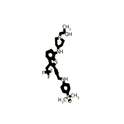 CC(O)CN1CCC(Nc2cccc3c(CC(F)(F)F)c(C#CCNc4ccc(P(C)(C)=O)cc4)sc23)CC1